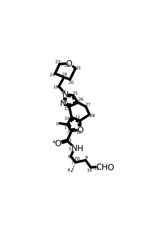 Cc1c(C(=O)NC[C@@H](C)CCC=O)oc2c1-c1nn(CC3CCOCC3)cc1CC2